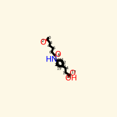 CC(=O)CCCCC(=O)Nc1ccc(CCC(=O)O)cc1